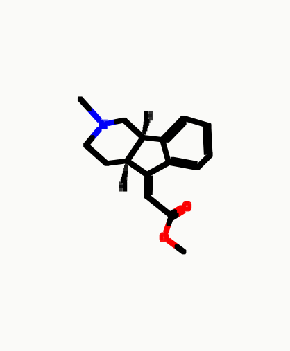 COC(=O)C=C1c2ccccc2[C@@H]2CN(C)CC[C@H]12